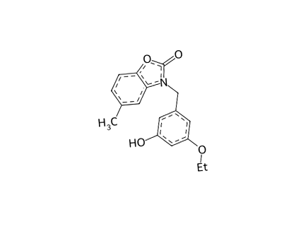 CCOc1cc(O)cc(Cn2c(=O)oc3ccc(C)cc32)c1